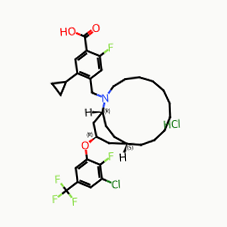 Cl.O=C(O)c1cc(C2CC2)c(CN2CCCCCCCCCC[C@H]3CC[C@@H]2C[C@H](Oc2cc(C(F)(F)F)cc(Cl)c2F)C3)cc1F